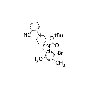 Cc1cc(C)c(CC2(NC(=O)OC(C)(C)C)CCN(c3ccccc3C#N)CC2)cc1Br